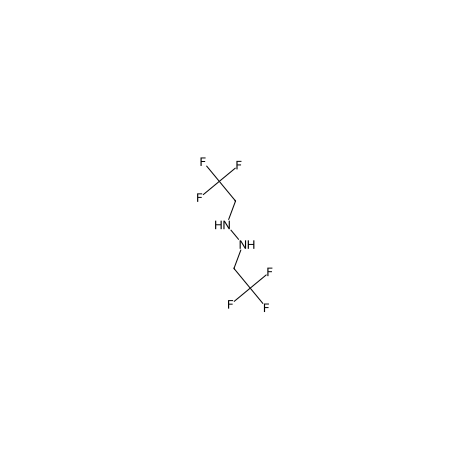 FC(F)(F)CNNCC(F)(F)F